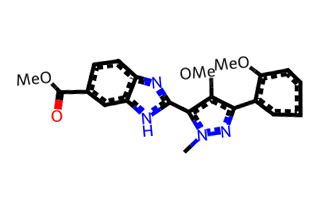 COC(=O)c1ccc2nc(-c3c(OC)c(-c4ccccc4OC)nn3C)[nH]c2c1